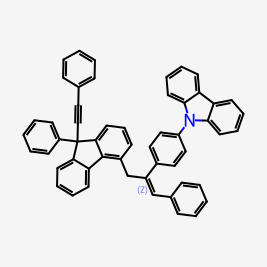 C(#CC1(c2ccccc2)c2ccccc2-c2c(C/C(=C/c3ccccc3)c3ccc(-n4c5ccccc5c5ccccc54)cc3)cccc21)c1ccccc1